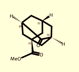 COC(=O)[C@]12C[C@@H]3C[C@H](C1)C(=O)[C@@H](C3)C2